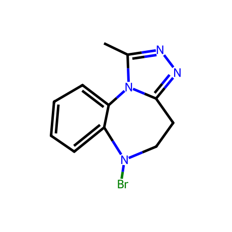 Cc1nnc2n1-c1ccccc1N(Br)CC2